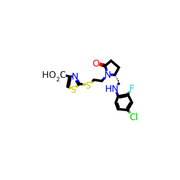 O=C(O)c1csc(SCCN2C(=O)CC[C@@H]2CNc2ccc(Cl)cc2F)n1